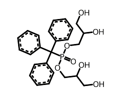 O=P(OCC(O)CO)(OCC(O)CO)C(c1ccccc1)(c1ccccc1)c1ccccc1